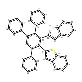 c1ccc(-c2cc(-c3ccccc3)c(-c3cc4ccccc4s3)c(-c3cc4ccccc4s3)c2-c2ccccc2)cc1